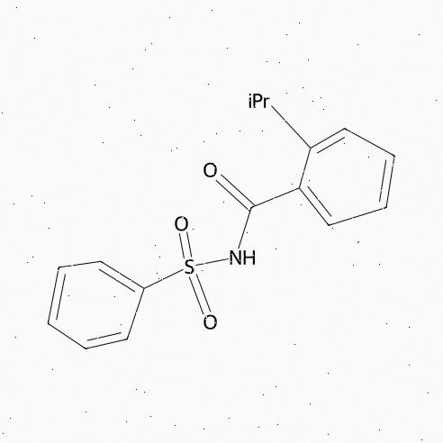 CC(C)c1ccccc1C(=O)NS(=O)(=O)c1ccccc1